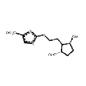 CCOC(=O)c1csc(SCCC2[C@@H](OC(C)=O)CC[C@@H]2C=O)n1